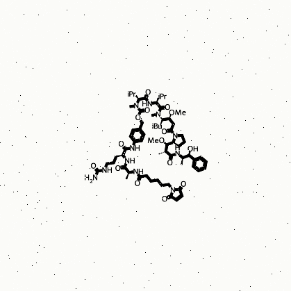 CC[C@H](C)[C@@H]([C@@H](CC(=O)N1CCC[C@H]1[C@H](OC)[C@@H](C)C(=O)N[C@H](C)[C@@H](O)c1ccccc1)OC)N(C)C(=O)[C@@H](NC(=O)[C@H](C(C)C)N(C)C(=O)OCc1ccc(NC(=O)[C@H](CCCNC(N)=O)NC(=O)[C@H](C)NC(=O)CCCCCN2C(=O)C=CC2=O)cc1)C(C)C